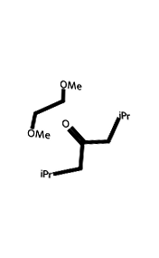 CC(C)CC(=O)CC(C)C.COCCOC